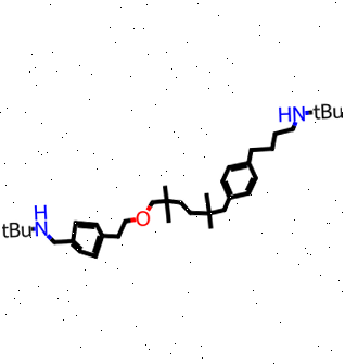 CC(C)(CCC(C)(C)Cc1ccc(CCCCNC(C)(C)C)cc1)COCCc1ccc(CNC(C)(C)C)cc1